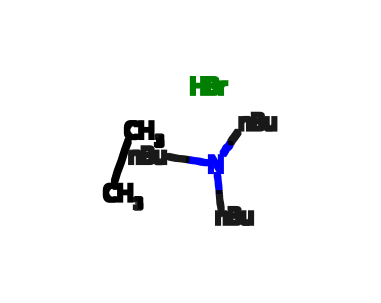 Br.CC.CCCCN(CCCC)CCCC